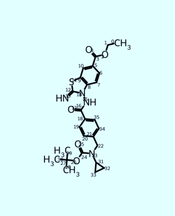 CCOC(=O)c1ccc2c(c1)sc(=N)n2NC(=O)c1ccc(CN(C(=O)OC(C)(C)C)C2CC2)cc1